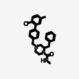 CNC(=O)N1CCN(Cc2ccc(-c3cc(C)ccc3Cl)cc2)CC1Cc1ccccc1